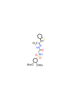 COc1ccc(S(=O)(=O)NCC(=O)N/N=C(\C)c2csc3ccccc23)cc1OC